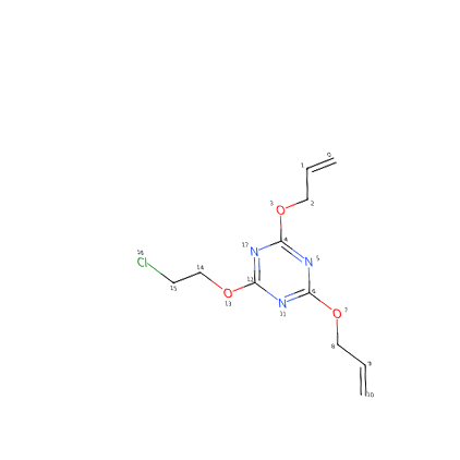 C=CCOc1nc(OCC=C)nc(OCCCl)n1